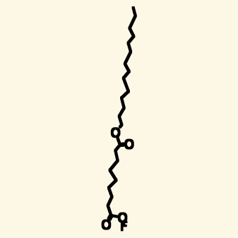 CCCCCCCCCCCCCCOC(=O)CCCCCCCC(=O)OF